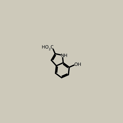 O=C(O)c1cc2cccc(O)c2[nH]1